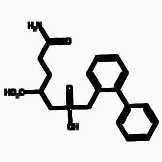 NC(=O)CCC(CP(=O)(O)Cc1ccccc1-c1ccccc1)C(=O)O